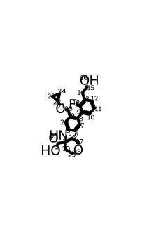 O=C(O)C1(Nc2ccc(-c3cccc(CCO)c3F)c(COC3CC3)c2)CCOCC1